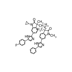 CC1(C)C(=O)N(C2CC2)c2cc(-c3ncc(-c4ccc(F)cc4)[nH]3)ccc21.CN1C(=O)C(C)(C)c2ccc(-c3ncc(-c4ccccc4)[nH]3)cc21